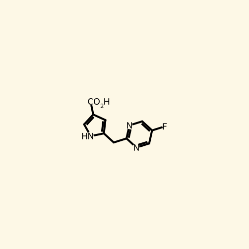 O=C(O)c1c[nH]c(Cc2ncc(F)cn2)c1